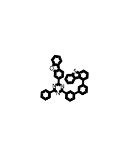 c1ccc(-c2nc(-c3cccc(-c4cccc(-c5cccc6sc7ccccc7c56)c4)c3)nc(-c3ccc4c(c3)oc3ccccc34)n2)cc1